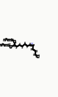 CCCCCOC(CCCCC/C=C\CCCCl)OCCCCC